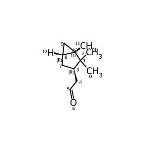 CC1(C)[C@@H](CC=O)C[C@@H]2C[C@@]21C